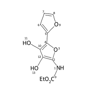 CCOC(=O)Nc1oc(-c2ccco2)c(O)c1O